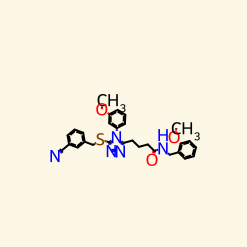 COc1cccc(-n2c(CCCC(=O)NCc3ccccc3OC)nnc2SCc2cccc(C#N)c2)c1